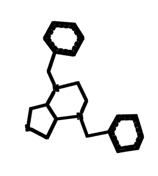 c1ccc(CN2CCN(Cc3ccccc3)C3CSCC32)cc1